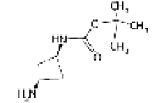 CC(C)(C)OC(=O)N[C@H]1C[C@@H](N)C1